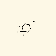 CCCCO[C@@H]1CC[C@](C)(O)[C@@H](CC)C1